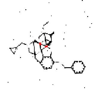 CC[C@]12C[C@@]34C=C(C1=O)[C@]2(OC)[C@@H]1Oc2c(OCc5ccccc5)ccc5c2[C@@]13CCN(CC1CC1)[C@@H]4C5